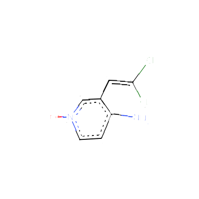 Nc1cc[n+]([O-])cc1C=C(Cl)Cl